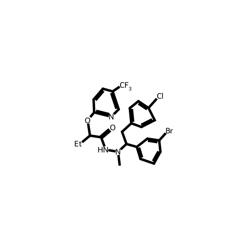 CCC(Oc1ccc(C(F)(F)F)cn1)C(=O)NN(C)C(Cc1ccc(Cl)cc1)c1cccc(Br)c1